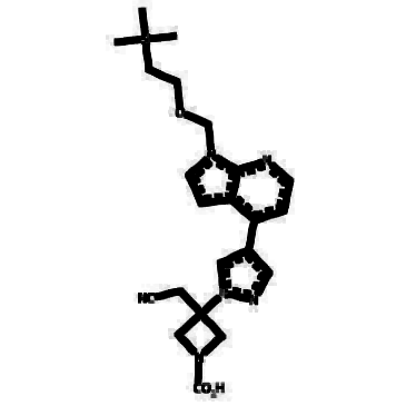 C[Si](C)(C)CCOCn1ccc2c(-c3cnn(C4(CC#N)CN(C(=O)O)C4)c3)ccnc21